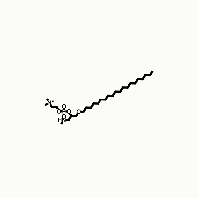 CCCCCCCCCCCCCCCCCCCCOCC(CNC)OP(=O)([O-])OCC[N+](C)(C)C